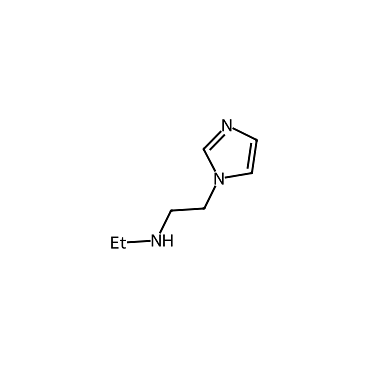 CCNCCn1ccnc1